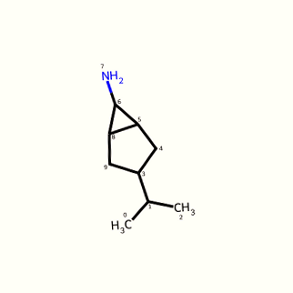 CC(C)C1CC2C(N)C2C1